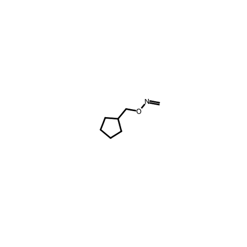 C=NOCC1CCCC1